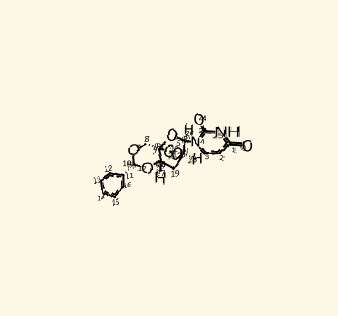 O=c1ccn([C@@H]2O[C@]34CO[C@@H](c5ccccc5)O[C@H]3C[C@H]2OC4)c(=O)[nH]1